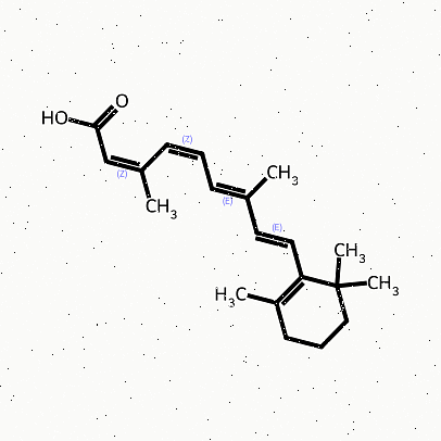 CC1=C(/C=C/C(C)=C/C=C\C(C)=C/C(=O)O)C(C)(C)CCC1